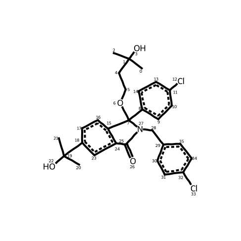 CC(C)(O)CCOC1(c2ccc(Cl)cc2)c2ccc(C(C)(C)O)cc2C(=O)N1Cc1ccc(Cl)cc1